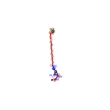 CCCN(OCCNC(=O)OC1CCC1)C(=O)C1=Cc2ccc(-c3cnc(CNC(=O)CCOCCOCCOCCOCCOCCOCCOCCOCCOCCOCCC(=O)Oc4c(F)c(F)c(SO)c(F)c4F)nc3)cc2N=C(N)C1